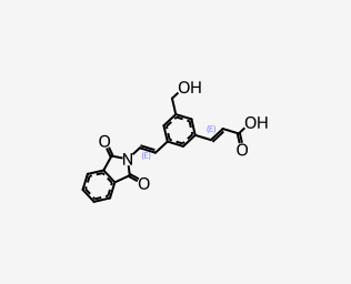 O=C(O)/C=C/c1cc(/C=C/N2C(=O)c3ccccc3C2=O)cc(CO)c1